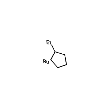 CCC1CCCC1.[Ru]